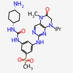 CC(C)N1CC(=O)N(C)c2cnc(Nc3cc(NC(=O)N[C@H]4CC[C@@H](N)CC4)cc(S(C)(=O)=O)c3)nc21